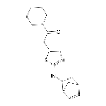 O=C(Cc1cnc(NC2CC3C=CC2C3)s1)N1CCCCC1